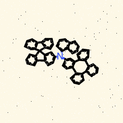 c1ccc2c(c1)-c1ccccc1-c1ccc(N(c3ccc4c(c3)C3(c5ccccc5-c5ccccc53)c3ccccc3-4)c3cccc4ccccc34)cc1-c1ccccc1-2